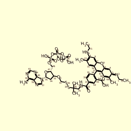 CC/N=c1/cc2oc3cc(NCC)c(C)cc3c(-c3ccc(C(=O)NCC(C)(C)SSCOC4C[C@H](n5cnc6c(N)ncnc65)O[C@@H]4COP(=O)(O)OP(=O)(O)OP(=O)(O)O)cc3C(=O)O)c-2cc1C